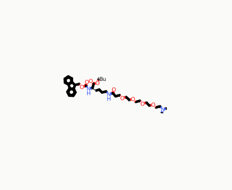 CN(C)CCOCCOCCOCCOCCC(=O)NCCCC[C@H](NC(=O)OCC1c2ccccc2-c2ccccc21)C(=O)OC(C)(C)C